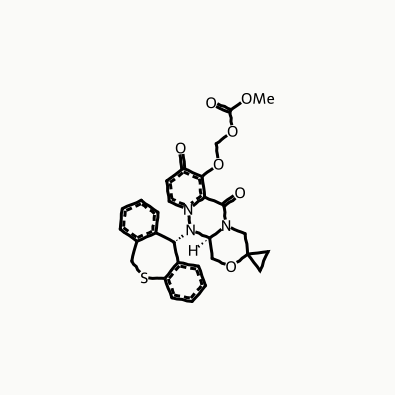 COC(=O)OCOc1c2n(ccc1=O)N([C@H]1c3ccccc3CSc3ccccc31)[C@@H]1COC3(CC3)CN1C2=O